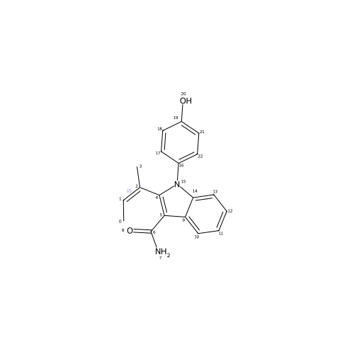 C/C=C(/C)c1c(C(N)=O)c2ccccc2n1-c1ccc(O)cc1